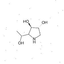 CC(O)C1NC[C@@H](O)[C@@H]1O